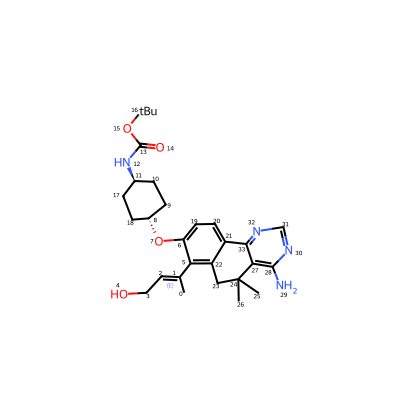 C/C(=C\CO)c1c(O[C@H]2CC[C@H](NC(=O)OC(C)(C)C)CC2)ccc2c1CC(C)(C)c1c(N)ncnc1-2